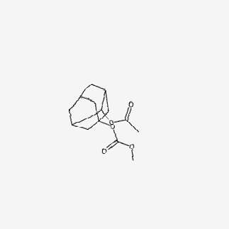 COC(=O)OC12CC3CC(C1)C(OC(C)=O)C(C3)C2